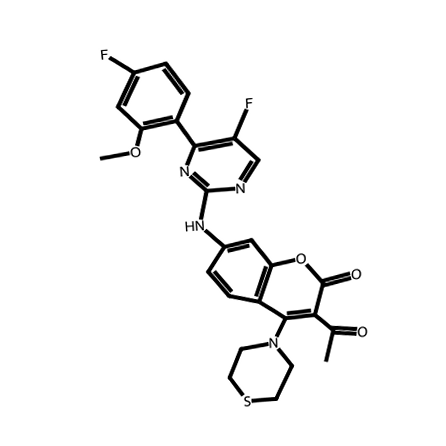 COc1cc(F)ccc1-c1nc(Nc2ccc3c(N4CCSCC4)c(C(C)=O)c(=O)oc3c2)ncc1F